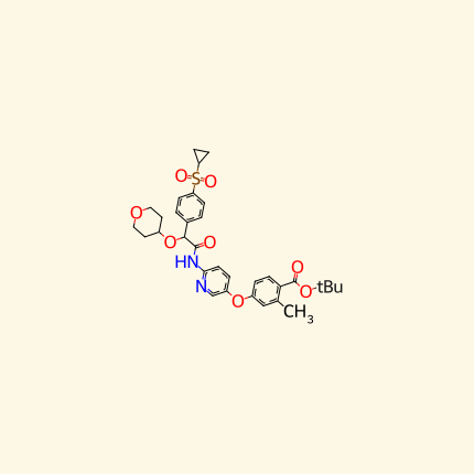 Cc1cc(Oc2ccc(NC(=O)C(OC3CCOCC3)c3ccc(S(=O)(=O)C4CC4)cc3)nc2)ccc1C(=O)OC(C)(C)C